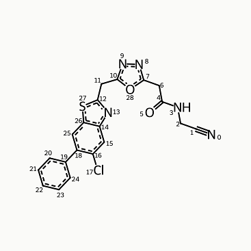 N#CCNC(=O)Cc1nnc(Cc2nc3cc(Cl)c(-c4ccccc4)cc3s2)o1